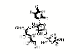 O=C[C@H](O)[C@@H](O)[C@H](O)[C@H](O)CO.O=c1[nH]c(=O)n([C@@H]2O[C@H](COP(=O)(O)OP(=O)(O)O)[C@@H](O)[C@H]2O)cc1F